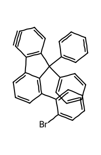 Brc1ccccc1-c1cccc2c1C(c1ccccc1)(c1ccccc1)c1ccc#cc1-2